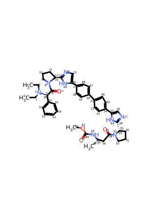 CCN(CC)[C@@H](C(=O)N1CCC[C@H]1c1ncc(-c2ccc(-c3ccc(-c4cnc([C@@H]5CCCN5C(=O)C[C@H](C)NC(=O)OC)[nH]4)cc3)cc2)[nH]1)c1ccccc1